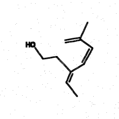 C=C(C)/C=C\C(=C/C)CCO